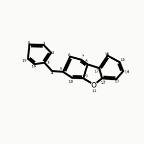 c1ccc(Cc2ccc3c(c2)oc2ccccc23)cc1